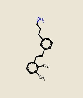 Cc1cccc(C=Cc2cccc(CCCN)c2)c1C